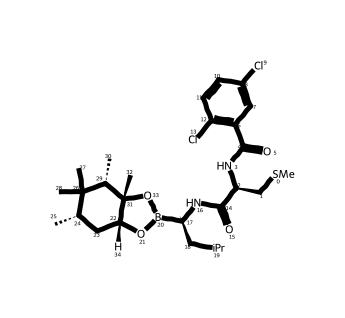 CSC[C@H](NC(=O)c1cc(Cl)ccc1Cl)C(=O)N[C@@H](CC(C)C)B1O[C@@H]2C[C@H](C)C(C)(C)[C@H](C)[C@]2(C)O1